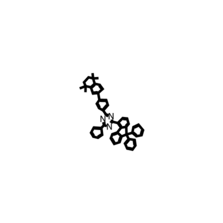 CC1(C)CCC(C)(C)c2cc(-c3ccc(-c4nc(-c5ccccc5)nc(-c5cccc6c5-c5ccccc5C6(c5ccccc5)c5ccccc5)n4)cc3)ccc21